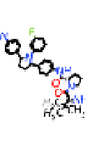 CC(C)(C)[C@H](N)C(=O)N1CCC[C@H]1C(=O)Nc1ccc(C2CCC(c3ccc(N)cc3)N2c2cccc(F)c2)cc1